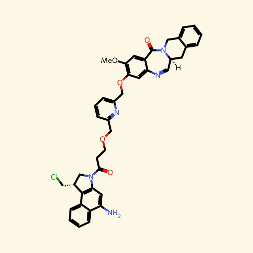 COc1cc2c(cc1OCc1cccc(COCCC(=O)N3C[C@@H](CCl)c4c3cc(N)c3ccccc43)n1)N=C[C@@H]1Cc3ccccc3CN1C2=O